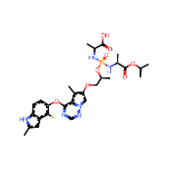 Cc1cc2c(F)c(Oc3ncnn4cc(OCC(C)OP(=O)(NC(C)C(=O)O)NC(C)C(=O)OC(C)C)c(C)c34)ccc2[nH]1